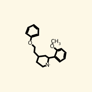 COc1ccccc1C1CC(CCOc2ccccc2)CC[N]1